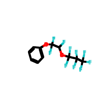 FC(OC(F)(F)C(F)(F)C(F)(F)F)C(F)(F)Oc1ccccc1